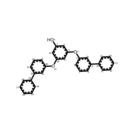 Oc1cc(Oc2cccc(-c3ccccc3)c2)cc(Oc2cccc(-c3ccccc3)c2)c1